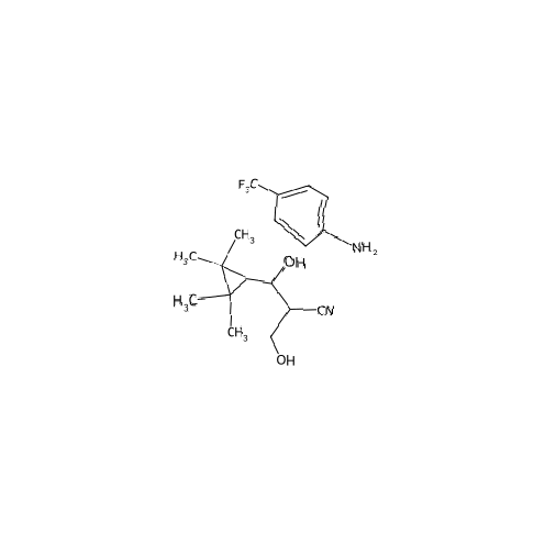 CC1(C)C(C(O)C(C#N)CO)C1(C)C.Nc1ccc(C(F)(F)F)cc1